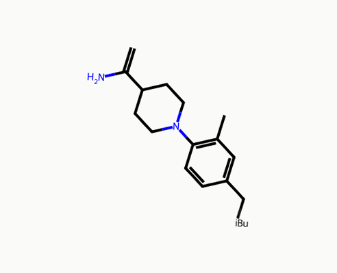 C=C(N)C1CCN(c2ccc(CC(C)CC)cc2C)CC1